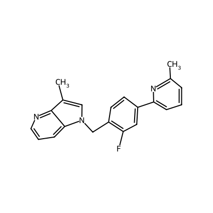 Cc1cccc(-c2ccc(Cn3cc(C)c4ncccc43)c(F)c2)n1